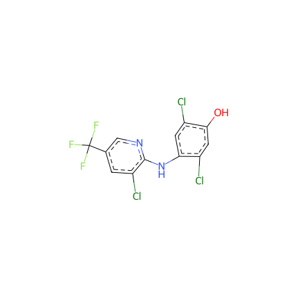 Oc1cc(Cl)c(Nc2ncc(C(F)(F)F)cc2Cl)cc1Cl